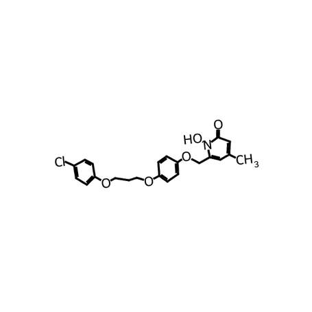 Cc1cc(COc2ccc(OCCCOc3ccc(Cl)cc3)cc2)n(O)c(=O)c1